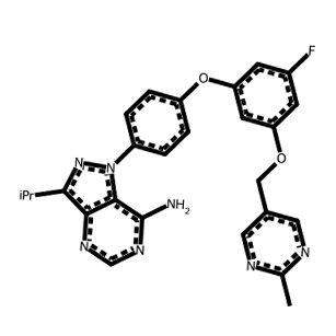 Cc1ncc(COc2cc(F)cc(Oc3ccc(-n4nc(C(C)C)c5ncnc(N)c54)cc3)c2)cn1